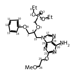 CCOP(=O)(COC(COc1ccccc1)Cn1cnc2c(N)nc(OCCOC)nc21)OCC